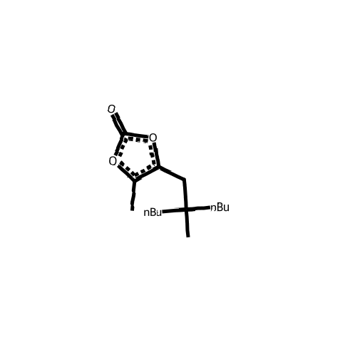 CCCCC(C)(CCCC)Cc1oc(=O)oc1C